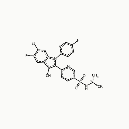 CCc1cc2c(cc1F)c(C#N)c(-c1ccc(S(=O)(=O)N[C@@H](C)C(F)(F)F)cn1)n2-c1ccc(F)cn1